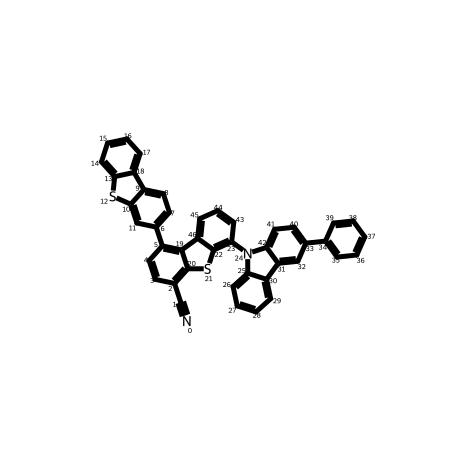 N#Cc1ccc(-c2ccc3c(c2)sc2ccccc23)c2c1sc1c(-n3c4ccccc4c4cc(-c5ccccc5)ccc43)cccc12